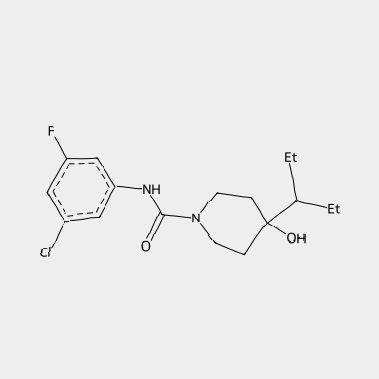 CCC(CC)C1(O)CCN(C(=O)Nc2cc(F)cc(Cl)c2)CC1